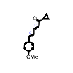 COc1ccc(/C=C/C=C/C(=O)C2CC2)cc1